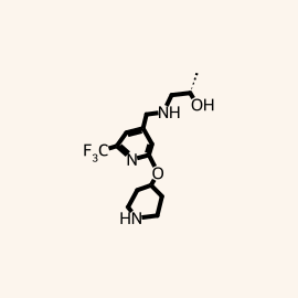 C[C@H](O)CNCc1cc(OC2CCNCC2)nc(C(F)(F)F)c1